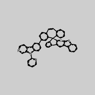 C1=Cc2ccc(-c3ccc4c(c3)c3ccncc3n4-c3ccccn3)cc2C2(c3ccccc31)c1ccccc1-c1cc3c(cc12)sc1ccccc13